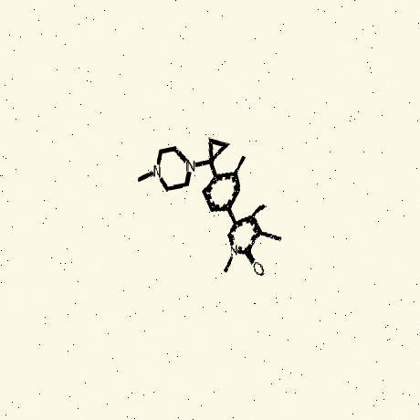 Cc1cc(-c2cn(C)c(=O)c(C)c2C)ccc1C1(N2CCN(C)CC2)CC1